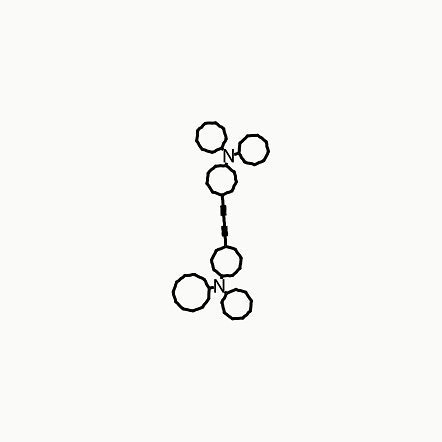 C(C#CC1CCCCC(N(C2CCCCCCCC2)C2CCCCCCCC2)CCC1)#CC1CCCCC(N(C2CCCCCCCCCC2)C2CCCCCCCC2)CCC1